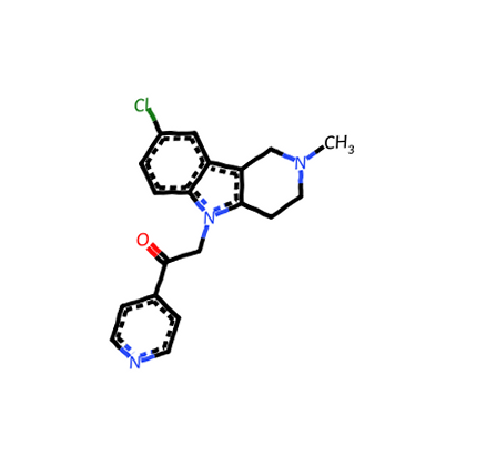 CN1CCc2c(c3cc(Cl)ccc3n2CC(=O)c2ccncc2)C1